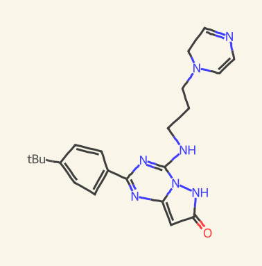 CC(C)(C)c1ccc(-c2nc(NCCCN3C=CN=CC3)n3[nH]c(=O)cc3n2)cc1